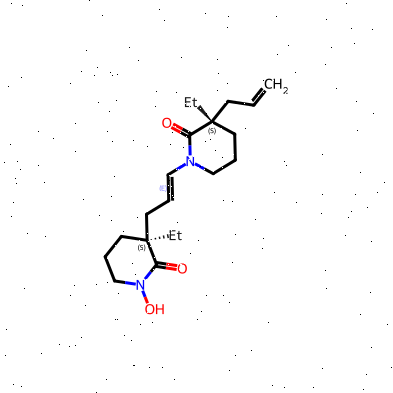 C=CC[C@]1(CC)CCCN(/C=C/C[C@]2(CC)CCCN(O)C2=O)C1=O